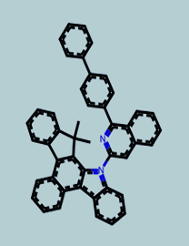 CC1(C)c2ccccc2-c2c1c1c(c3ccccc23)c2ccccc2n1-c1cc2ccccc2c(-c2ccc(-c3ccccc3)cc2)n1